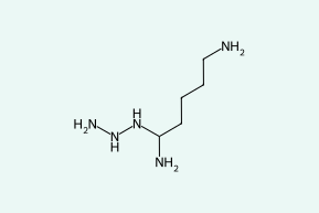 NCCCCC(N)NNN